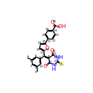 Cc1cc(C)cc(C(=C2C(=O)NC(=S)NC2=O)c2ccc(-c3ccc(C(=O)O)cc3)o2)c1